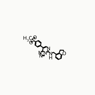 CS(=O)(=O)c1ccc(-c2cnc(NCc3cccc4c3CCO4)n3cnnc23)cc1